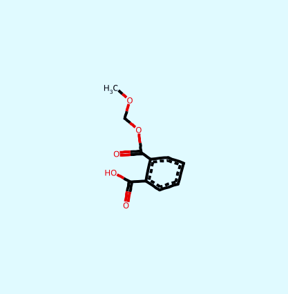 COCOC(=O)c1ccccc1C(=O)O